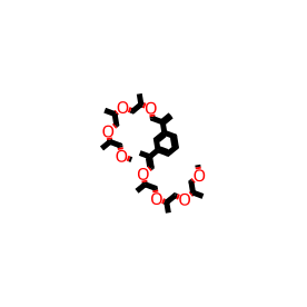 C=C(COC(C)COC(C)COC(C)COC)c1cccc(C(C)=COC(C)COC(C)COC(C)COC)c1